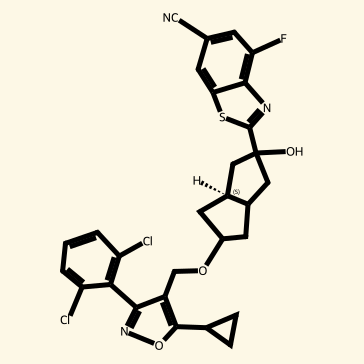 N#Cc1cc(F)c2nc(C3(O)CC4CC(OCc5c(-c6c(Cl)cccc6Cl)noc5C5CC5)C[C@H]4C3)sc2c1